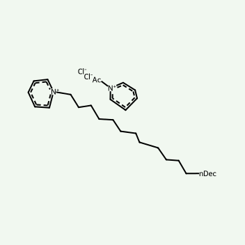 CC(=O)[n+]1ccccc1.CCCCCCCCCCCCCCCCCCCCCC[n+]1ccccc1.[Cl-].[Cl-]